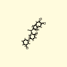 CC(c1nc2cc(Cl)c(Cl)cc2[nH]1)n1nc(-c2cccc(Cl)c2)ccc1=O